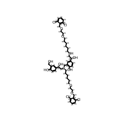 OCc1cc([C@@H](O)CN(CCCCCCOCCOCc2c(Cl)cccc2Cl)Cc2cc([C@@H](O)CNCCCCCCOCCOCc3c(Cl)cccc3Cl)ccc2O)ccc1O